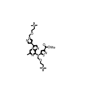 COC(=O)c1cc(N(COCC[Si](C)(C)C)c2nc(C)cn3c(-c4cnn(COCC[Si](C)(C)C)c4)cnc23)sn1